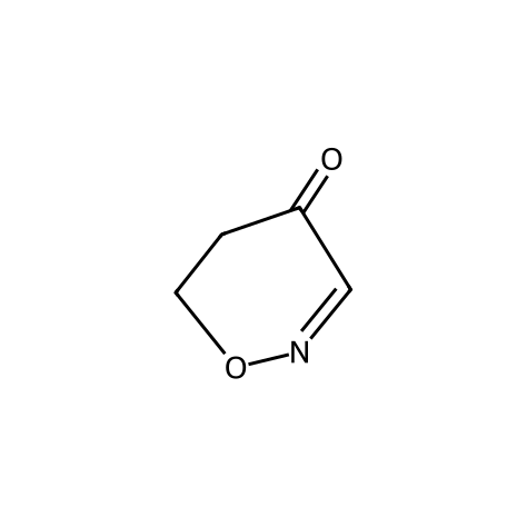 O=C1C=NOCC1